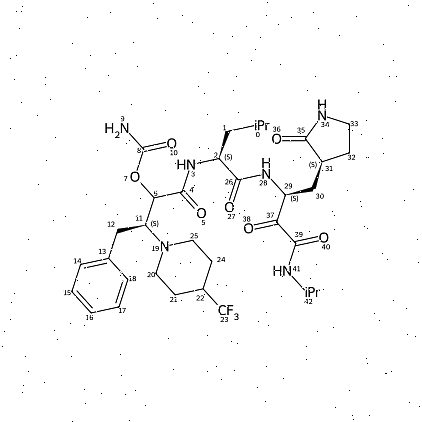 CC(C)C[C@H](NC(=O)C(OC(N)=O)[C@H](Cc1ccccc1)N1CCC(C(F)(F)F)CC1)C(=O)N[C@@H](C[C@@H]1CCNC1=O)C(=O)C(=O)NC(C)C